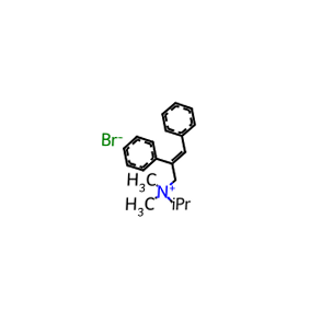 CC(C)[N+](C)(C)CC(=Cc1ccccc1)c1ccccc1.[Br-]